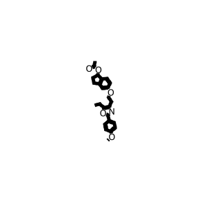 CCc1oc(-c2ccc(OC)cc2)nc1CCOc1ccc2c(c1)CCC2OC(C)=O